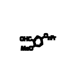 CCCOc1ccc(OC)c(C=O)c1